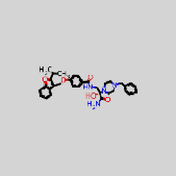 CC(C)c1oc2ccccc2c1COc1ccc(C(=O)NC[C@](O)(C(N)=O)N2CCN(Cc3ccccc3)CC2)cc1